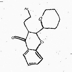 CC(=O)CCC1C(=O)c2ccccc2OC1C1CCCCO1